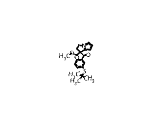 COC(=O)C1(C(=O)c2cccc(SC(C)(C)C)c2)CCn2cccc21